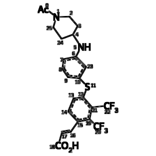 CC(=O)N1CCC(Nc2cccc(Sc3ccc(C=CC(=O)O)c(C(F)(F)F)c3C(F)(F)F)c2)CC1